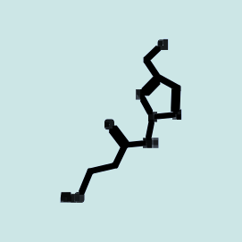 COCCC(=O)Nn1ncc(CCl)n1